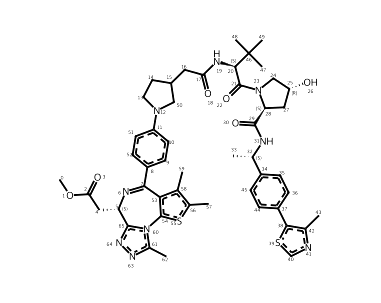 COC(=O)C[C@@H]1N=C(c2ccc(N3CCC(CC(=O)N[C@H](C(=O)N4C[C@H](O)C[C@H]4C(=O)N[C@@H](C)c4ccc(-c5scnc5C)cc4)C(C)(C)C)C3)cc2)c2c(sc(C)c2C)-n2c(C)nnc21